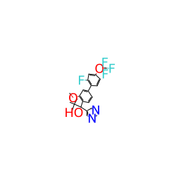 COc1cc(-c2ccc(OC(F)(F)F)cc2F)ccc1C(O)(c1cncnc1)C(C)(C)C